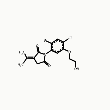 CC(C)=C1CC(=O)N(c2cc(OCCO)c(Cl)cc2F)C1=O